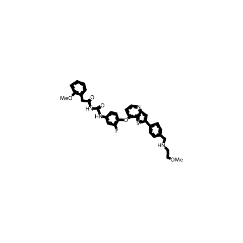 COCCNCc1ccc(-c2cc3nccc(Oc4ccc(NC(=O)NC(=O)Cc5ccccc5OC)cc4F)c3s2)cc1